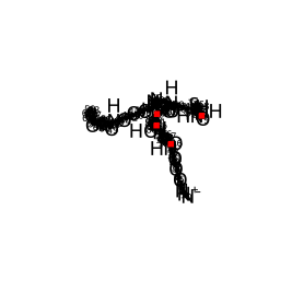 [N-]=[N+]=NCCOCCOCCOCCNC(=O)c1ccc(/N=N/c2cc(CCNC(=O)C(Cc3cn(CCOCCOCCOCCNC(=O)c4ccc(C(=O)c5ccccc5)cc4)nn3)NC(=O)CCCC[C@@H]3SC[C@@H]4NC(=O)N[C@@H]43)ccc2O)cc1